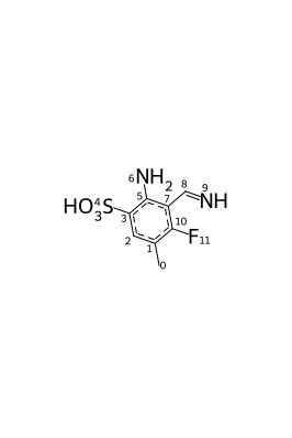 Cc1cc(S(=O)(=O)O)c(N)c(C=N)c1F